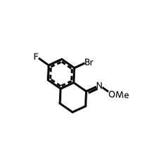 CON=C1CCCc2cc(F)cc(Br)c21